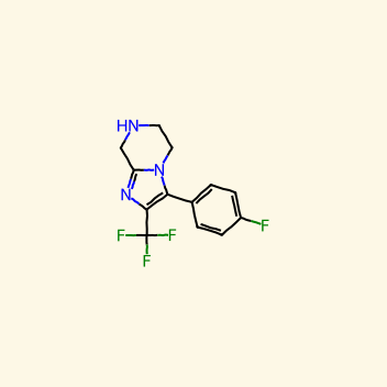 Fc1ccc(-c2c(C(F)(F)F)nc3n2CCNC3)cc1